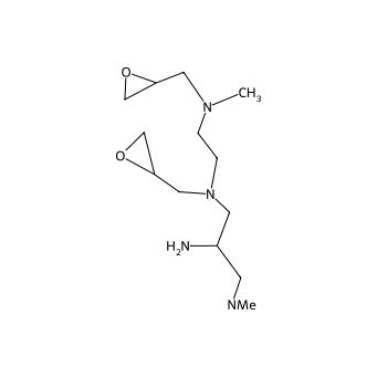 CNCC(N)CN(CCN(C)CC1CO1)CC1CO1